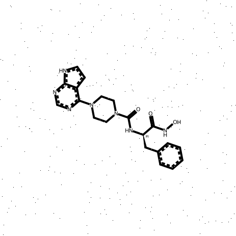 O=C(NO)[C@@H](Cc1ccccc1)NC(=O)N1CCN(c2ncnc3[nH]ccc23)CC1